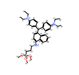 CCN(CC)c1ccc(C(c2ccc(N(CC)CC)cc2)c2ccc(NCCC[Si](OC)(OC)OC)c3ccccc23)cc1